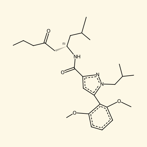 CCCC(=O)C[C@H](CC(C)C)NC(=O)c1cc(-c2c(OC)cccc2OC)n(CC(C)C)n1